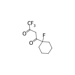 O=C(CC(=O)C1(F)CCCCC1)C(F)(F)F